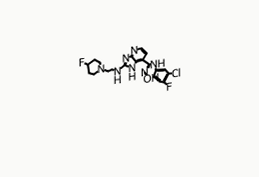 ON=C(Nc1ccc(F)c(Cl)c1)c1ccnc2nc(NCCN3CCC(F)CC3)[nH]c12